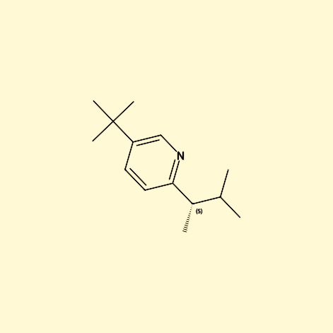 CC(C)[C@H](C)c1ccc(C(C)(C)C)cn1